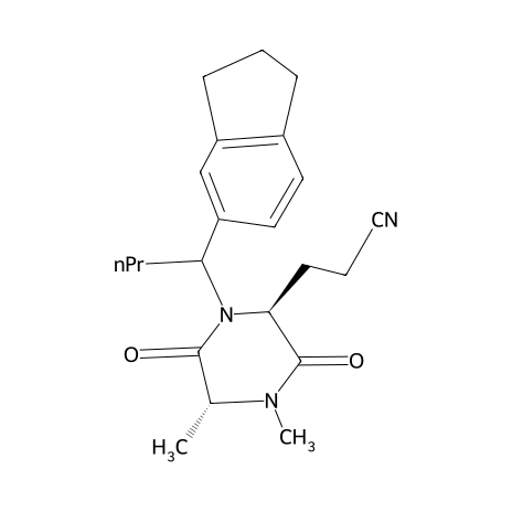 CCCC(c1ccc2c(c1)CCC2)N1C(=O)[C@@H](C)N(C)C(=O)[C@@H]1CCC#N